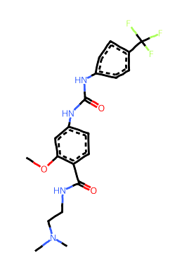 COc1cc(NC(=O)Nc2ccc(C(F)(F)F)cc2)ccc1C(=O)NCCN(C)C